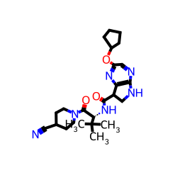 CC(C)(C)[C@@H](NC(=O)C1CNc2ncc(OC3CCCC3)nc21)C(=O)N1CCC(C#N)CC1